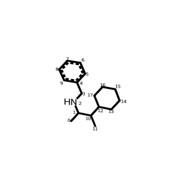 CC(NCc1ccccc1)C(C)C1CCCCC1